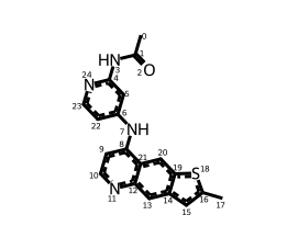 CC(=O)Nc1cc(Nc2ccnc3cc4cc(C)sc4cc23)ccn1